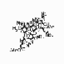 CCCCOC[C@@H](OC)[C@H](OC(C)[C@H](C)N=[N+]=[N-])O[C@H](COCCCC)[C@H](OC(C)[C@H](C)N=[N+]=[N-])O[C@@H]1C(OCCCC)[C@H](N=[N+]=[N-])C(C)O[C@@H]1O[C@@H]1C(OCCCC)[C@H](N=[N+]=[N-])C(C)O[C@@H]1OCCCCCC(=O)OC